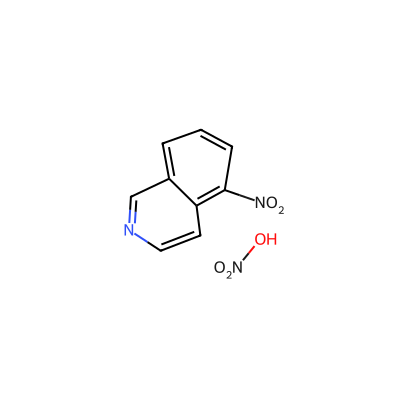 O=[N+]([O-])O.O=[N+]([O-])c1cccc2cnccc12